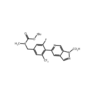 CN(Cc1cc(F)c(-c2cc3cnn(C(=O)O)c3cn2)c(C(F)(F)F)c1)C(=O)OC(C)(C)C